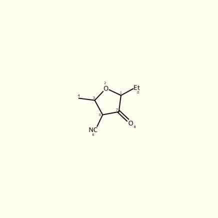 CCC1OC(C)C(C#N)C1=O